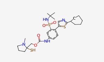 CN1CCCC1(S)COC(=O)Nc1ccc(-c2cnc(C3CCCCC3)s2)c(S(=O)(=O)NC(C)(C)C)c1